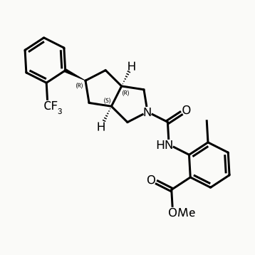 COC(=O)c1cccc(C)c1NC(=O)N1C[C@H]2C[C@@H](c3ccccc3C(F)(F)F)C[C@H]2C1